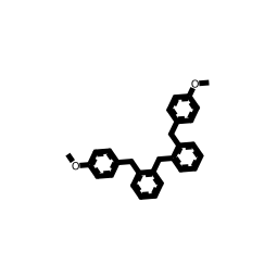 COc1ccc(Cc2ccccc2Cc2ccccc2Cc2ccc(OC)cc2)cc1